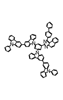 c1ccc(-c2ccc(-c3nc(-c4cc(-n5c6ccccc6c6cc(-c7ccc8c(c7)c7ccccc7n8-c7ccccc7)ccc65)cc(-n5c6ccccc6c6cc(-c7ccc8c(c7)c7ccccc7n8-c7ccccc7)ccc65)c4)nc4ccc5ccccc5c34)cc2)cc1